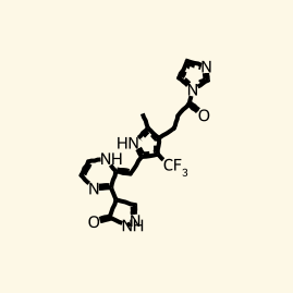 Cc1[nH]c(C=C2NC=CN=C2C2C=NNC2=O)c(C(F)(F)F)c1CCC(=O)n1ccnc1